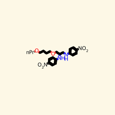 CCCOCCCCOCC(CNc1ccc([N+](=O)[O-])cc1)Nc1ccc([N+](=O)[O-])cc1